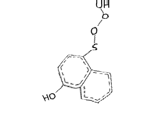 OOOSc1ccc(O)c2ccccc12